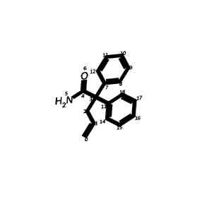 C=CCC(C(N)=O)(c1ccccc1)c1ccccc1